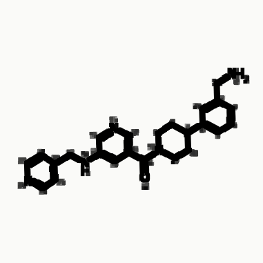 NCc1cccc(C2CCN(C(=O)c3cncc(NCc4ccncc4)c3)CC2)c1